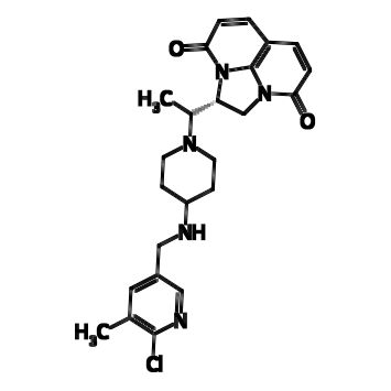 Cc1cc(CNC2CCN(C(C)[C@H]3Cn4c(=O)ccc5ccc(=O)n3c54)CC2)cnc1Cl